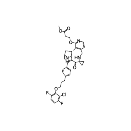 COC(=O)CCOc1nccc(CNC2(C(=O)C3=C(c4ccc(CCCOc5c(F)ccc(F)c5Cl)cc4)CC4CCC3N4)CC2)c1C